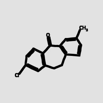 Cc1ccc2c(c1)C(=O)c1ccc(Cl)cc1CC2